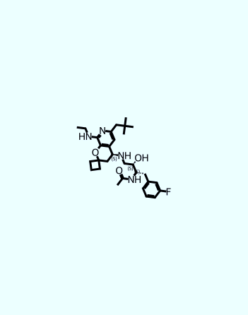 CCNc1nc(CC(C)(C)C)cc2c1OC1(CCC1)C[C@@H]2NC[C@H](O)[C@H](Cc1cccc(F)c1)NC(C)=O